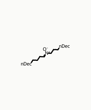 CCCCCCCCCCCCCC=[N+]([O-])CCCCCCCCCCCCC